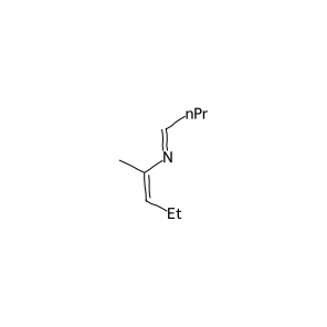 CC/C=C(C)\N=C\CCC